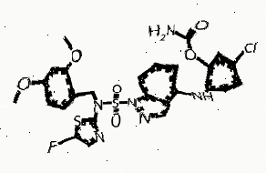 COc1ccc(CN(c2ncc(F)s2)S(=O)(=O)n2ncc3c(Nc4ccc(Cl)cc4OC(N)=O)cccc32)c(OC)c1